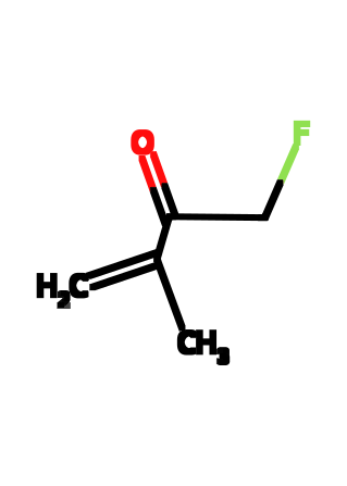 C=C(C)C(=O)CF